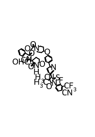 Cc1cccc(OCC(=O)N2CCC(Oc3ccc(-c4ccc(N5C(=S)N(c6ccc(C#N)c(C(F)(F)F)c6F)C(=O)C5(C)C)cn4)cc3)CC2)c1C(=O)N(C=O)C1CCC(=O)NC1=O